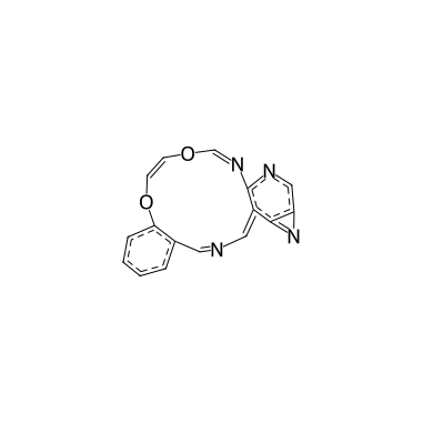 C1=COc2ccccc2C=NC=c2c(ncc3c2=N3)N=CO1